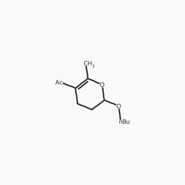 CCCCOC1CCC(C(C)=O)=C(C)O1